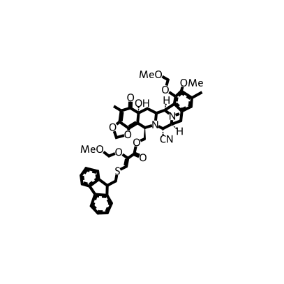 COCO/C(=C\SCC1c2ccccc2-c2ccccc21)C(=O)OC[C@H]1C2=C3OCOC3=C(C)C(=O)[C@@]2(O)CC2[C@H]3c4c(cc(C)c(OC)c4OCOC)C[C@@H]([C@H](C#N)N21)N3C